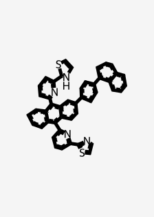 C1=CSC(c2cccc(-c3c4ccccc4c(-c4cccc(-c5nccs5)n4)c4ccc(-c5ccc(-c6cccc7ccccc67)cc5)cc34)n2)N1